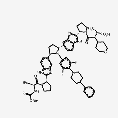 COC(=O)N[C@H](C(=O)N1CCC[C@H]1c1nc2cc([C@H]3CC[C@H](c4ccc5[nH]c([C@@H]6CCCN6C(=O)[C@H](C6CCOCC6)N(C)C(=O)O)nc5c4)N3c3cc(F)c(N4CCC(c5ccccc5)CC4)c(F)c3)ccc2[nH]1)C(C)C